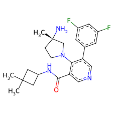 CC1(C)CC(NC(=O)c2cncc(-c3cc(F)cc(F)c3)c2N2CC[C@](C)(N)C2)C1